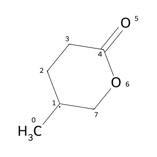 C[C]1CCC(=O)OC1